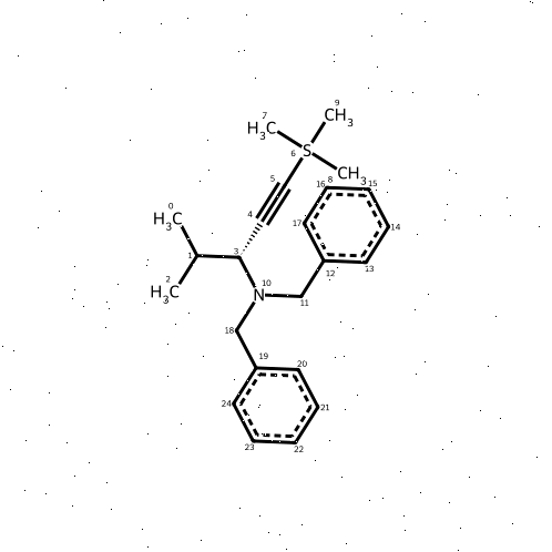 CC(C)[C@H](C#CS(C)(C)C)N(Cc1ccccc1)Cc1ccccc1